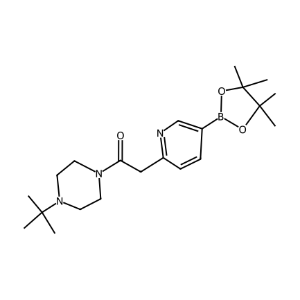 CC(C)(C)N1CCN(C(=O)Cc2ccc(B3OC(C)(C)C(C)(C)O3)cn2)CC1